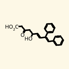 O=C(O)CC(=O)CC(O)C=CC(=Cc1ccccc1)c1ccccc1